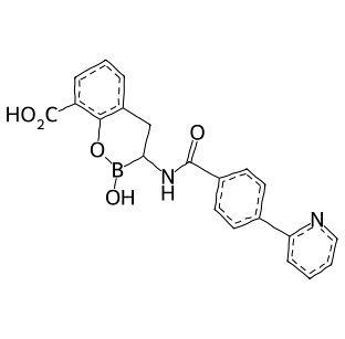 O=C(NC1Cc2cccc(C(=O)O)c2OB1O)c1ccc(-c2ccccn2)cc1